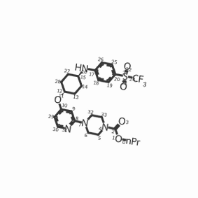 CCCOC(=O)N1CCN(c2cc(O[C@H]3CC[C@H](Nc4ccc(S(=O)(=O)C(F)(F)F)cc4)CC3)ccn2)CC1